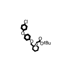 CC(C)(C)OC(=O)CN1CCCCC1COc1ccc(Oc2ccc(Cl)cc2)cc1